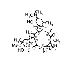 CC[C@H]1OC(=O)[C@H](C)[C@@H](O[C@H]2C[C@](C)(OC)[C@@H](O)C(C)O2)[C@H](C)[C@@H](O[C@@H]2OC(C)C[C@@H](N(C)C)C2O)[C@](C)(O)C[C@@H](C)C(=O)[C@H](C)[C@@H](O)[C@]1(C)O